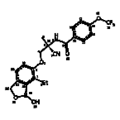 CCc1c(OC[C@](C)(C#N)NC(=O)c2ccc(OC(F)(F)F)cc2)ccc2c1B(O)OC2